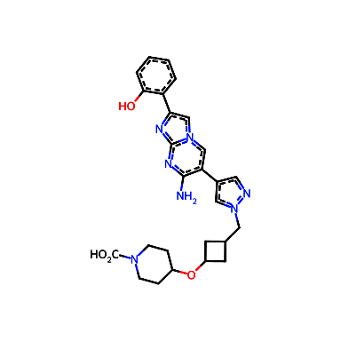 Nc1nc2nc(-c3ccccc3O)cn2cc1-c1cnn(CC2CC(OC3CCN(C(=O)O)CC3)C2)c1